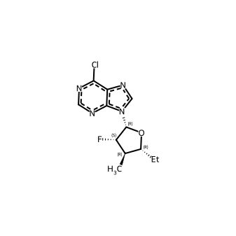 CC[C@H]1O[C@@H](n2cnc3c(Cl)ncnc32)[C@@H](F)[C@@H]1C